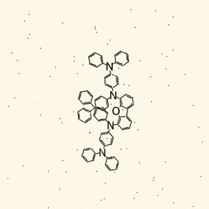 c1ccc(-c2ccc(N(c3ccc(N(c4ccccc4)c4ccccc4)cc3)c3cccc4c3oc3c(N(c5ccc(-c6ccccc6)cc5)c5ccc(N(c6ccccc6)c6ccccc6)cc5)cccc34)cc2)cc1